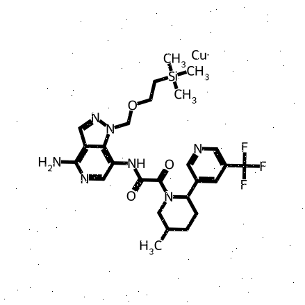 CC1CCC(c2cncc(C(F)(F)F)c2)N(C(=O)C(=O)Nc2cnc(N)c3cnn(COCC[Si](C)(C)C)c23)C1.[Cu]